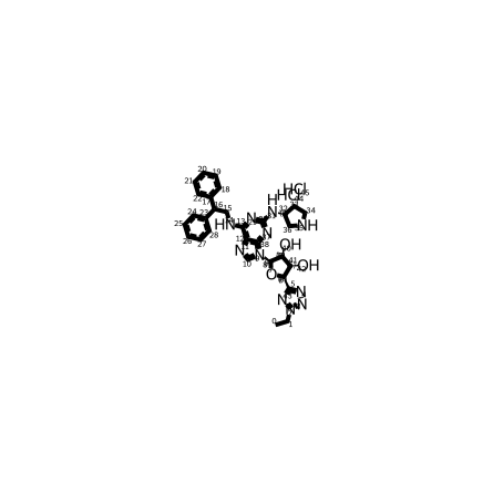 CCn1nnc([C@H]2O[C@@H](n3cnc4c(NCC(c5ccccc5)c5ccccc5)nc(N[C@@H]5CCNC5)nc43)[C@H](O)[C@@H]2O)n1.Cl.Cl